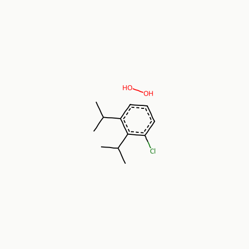 CC(C)c1cccc(Cl)c1C(C)C.OO